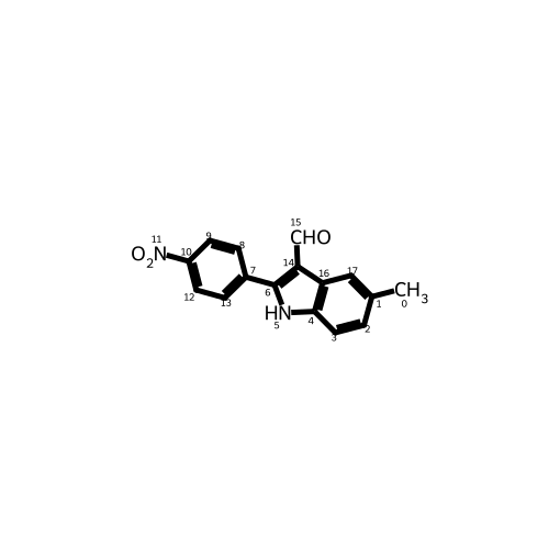 Cc1ccc2[nH]c(-c3ccc([N+](=O)[O-])cc3)c(C=O)c2c1